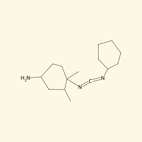 CC1CC(N)CCC1(C)N=C=NC1CCCCC1